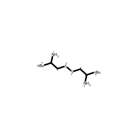 CCCCC(N)CSSCC(N)CCCC